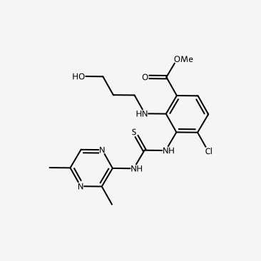 COC(=O)c1ccc(Cl)c(NC(=S)Nc2ncc(C)nc2C)c1NCCCO